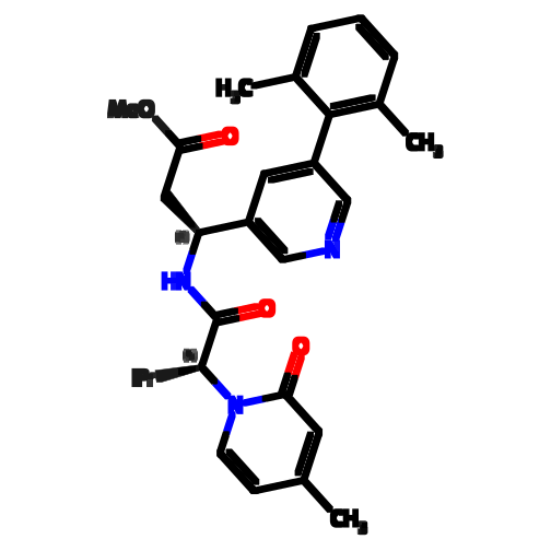 COC(=O)C[C@H](NC(=O)[C@H](C(C)C)n1ccc(C)cc1=O)c1cncc(-c2c(C)cccc2C)c1